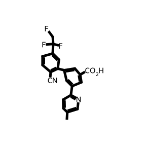 Cc1ccc(-c2cc(C(=O)O)cc(-c3cc(C(F)(F)CF)ccc3C#N)c2)nc1